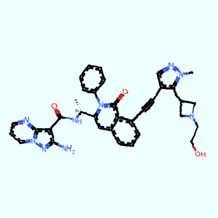 C[C@@H](NC(=O)c1c(N)nn2cccnc12)c1cc2cccc(C#Cc3cnn(C)c3C3CN(CCO)C3)c2c(=O)n1-c1ccccc1